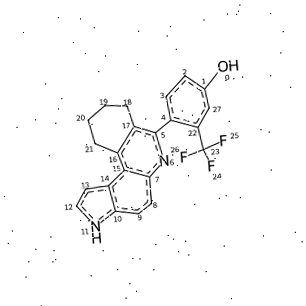 Oc1ccc(-c2nc3ccc4[nH]ccc4c3c3c2CCCC3)c(C(F)(F)F)c1